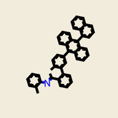 C/C(=N\c1ccccc1C)c1ccccc1-c1cc(-c2c3ccccc3c(-c3cccc4ccccc34)c3ccccc23)ccc1C